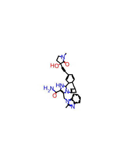 Cc1nc2ccccc2n1CC1=C(C(N)=O)NC2C3C=C(C#C[C@]4(O)CCN(C)C4=O)C=CC3C3C=C(C3)N12